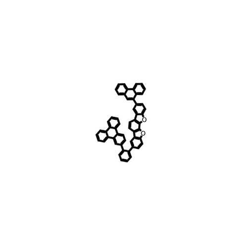 c1ccc(-c2ccc3c4ccccc4c4ccccc4c3c2)c(-c2ccc3oc4c(ccc5c6cc(-c7cc8ccccc8c8ccccc78)ccc6oc54)c3c2)c1